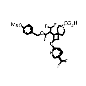 COc1ccc(COC(F)C(C(F)F)C2C(Oc3ccc(C(F)F)cn3)CC23CCN(C(=O)O)CC3)cc1